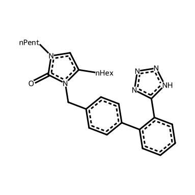 CCCCCCc1cn(CCCCC)c(=O)n1Cc1ccc(-c2ccccc2-c2nnn[nH]2)cc1